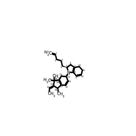 C=CCCC[C@H]1CC2=C(C=CCC2)N1C1C=CC2=C(C1)C(C)(C)/C(=C/C)C2C